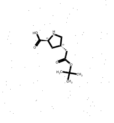 CC(C)(C)OC(=O)C[C@H]1CN[C@H](C(=O)O)C1